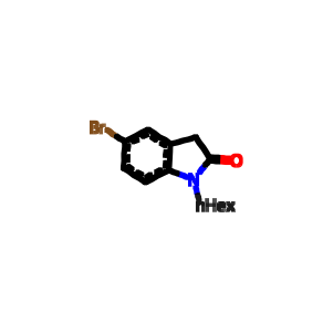 CCCCCCN1C(=O)Cc2cc(Br)ccc21